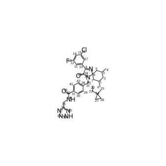 CC1CC(C)CC2(C1)N=C(c1cc(F)cc(Cl)c1)C(=O)N2[C@H](CCC1(C)CC1)c1ccc(C(=O)NCc2nn[nH]n2)cc1